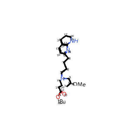 CO[C@H](C)CN(CCCCc1ccc2c(n1)NCCC2)CCCC(=O)OC(C)(C)C